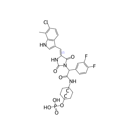 Cc1c(Cl)ccc2c(/C=C3\NC(=O)N(C(C(=O)NC45CCC(OP(=O)(O)O)(CC4)CC5)c4ccc(F)c(F)c4)C3=O)c[nH]c12